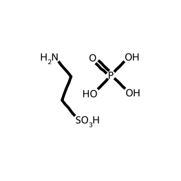 NCCS(=O)(=O)O.O=P(O)(O)O